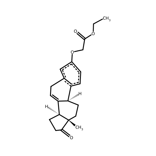 CCOC(=O)COc1ccc2c(c1)CC=C1[C@@H]2CC[C@]2(C)C(=O)CC[C@@H]12